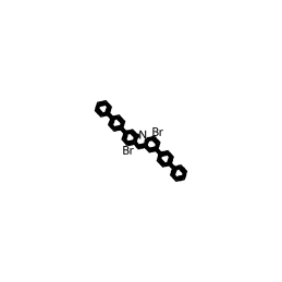 Brc1cc(-c2ccc(-c3ccccc3)cc2)cc2nc3c(Br)cc(-c4ccc(-c5ccccc5)cc4)cc3cc12